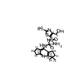 CC(C)c1nc(CO)c([S@@](N)(=O)=NC(=O)Nc2c3c(nc4c2CCC4(C)C)CCC3)s1